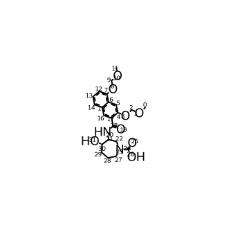 COCOc1cc2c(OCOC)cccc2cc1C(=O)N[C@@H]1CN(C(=O)O)CCC[C@H]1O